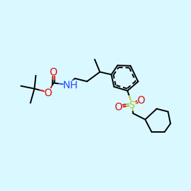 CC(CCNC(=O)OC(C)(C)C)c1cccc(S(=O)(=O)CC2CCCCC2)c1